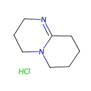 C1CCN2CCCN=C2C1.Cl